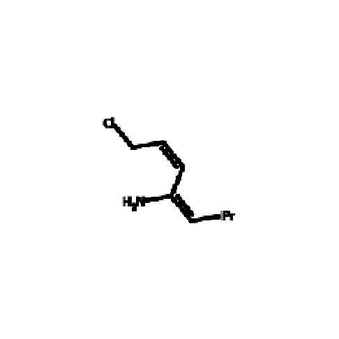 CC(C)/C=C(N)\C=C/CCl